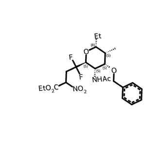 CCOC(=O)C(CC(F)(F)[C@H]1O[C@H](CC)[C@H](C)[C@H](OCc2ccccc2)[C@@H]1NC(C)=O)[N+](=O)[O-]